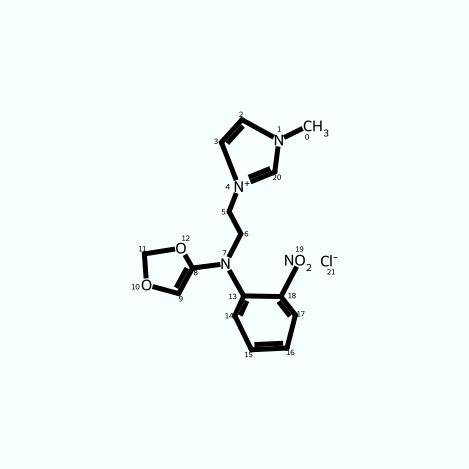 Cn1cc[n+](CCN(C2=COCO2)c2ccccc2[N+](=O)[O-])c1.[Cl-]